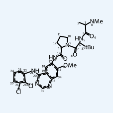 CNC(C)C(=O)NC(C(=O)N1CCCC1C(=O)Nc1cc2c(Nc3cccc(Cl)c3Cl)ncnc2cc1OC)C(C)(C)C